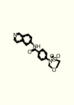 O=C(Nc1ccc2cnccc2c1)c1ccc(N2COCCS2(=O)=O)cc1